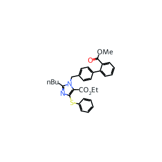 CCCCc1nc(Sc2ccccc2)c(C(=O)OCC)n1Cc1ccc(-c2ccccc2C(=O)OC)cc1